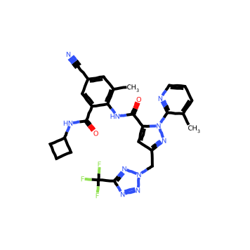 Cc1cccnc1-n1nc(Cn2nnc(C(F)(F)F)n2)cc1C(=O)Nc1c(C)cc(C#N)cc1C(=O)NC1CCC1